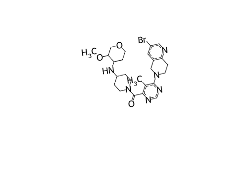 COC1COCCC1NC1CCN(C(=O)c2ncnc(N3CCc4ncc(Br)cc4C3)c2C)CC1